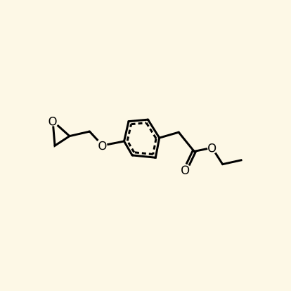 CCOC(=O)Cc1ccc(OCC2CO2)cc1